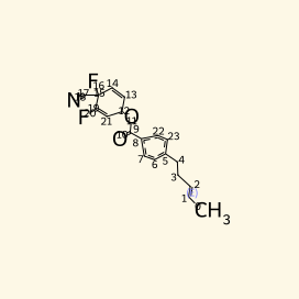 C/C=C/CCc1ccc(C(=O)OC2C=CC(F)(C#N)C(F)=C2)cc1